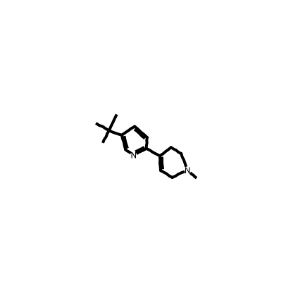 CN1CC=C(c2ccc(C(C)(C)C)cn2)CC1